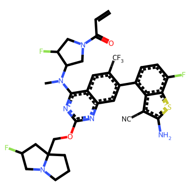 C=CC(=O)N1CC(F)C(N(C)c2nc(OCC34CCCN3CC(F)C4)nc3cc(-c4ccc(F)c5sc(N)c(C#N)c45)c(C(F)(F)F)cc23)C1